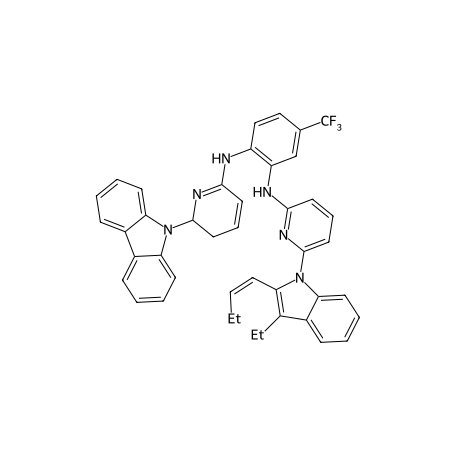 CC/C=C\c1c(CC)c2ccccc2n1-c1cccc(Nc2cc(C(F)(F)F)ccc2NC2=NC(n3c4ccccc4c4ccccc43)CC=C2)n1